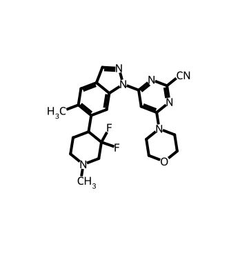 Cc1cc2cnn(-c3cc(N4CCOCC4)nc(C#N)n3)c2cc1C1CCN(C)CC1(F)F